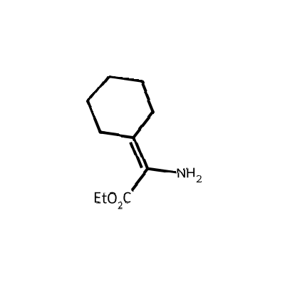 CCOC(=O)C(N)=C1CCCCC1